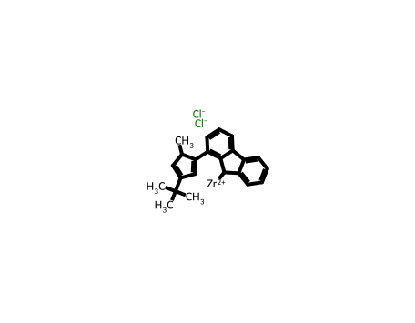 CC1C=C(C(C)(C)C)C=C1c1cccc2c1[CH]([Zr+2])c1ccccc1-2.[Cl-].[Cl-]